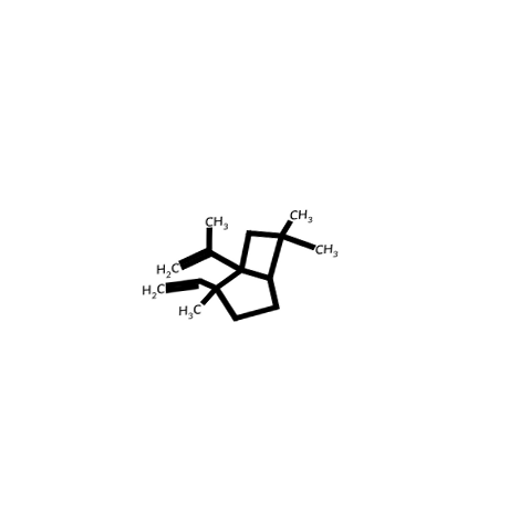 C=CC1(C)CCC2C(C)(C)CC21C(=C)C